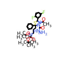 CC(=O)N1C(c2cc(F)ccc2F)SC(CCCN(OC(C)(C)C)C(=O)OC(C)(C)C)(c2ccccc2)N1C(=O)NN